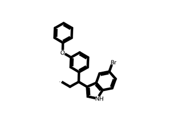 [CH2]CC(c1cccc(Oc2ccccc2)c1)c1c[nH]c2ccc(Br)cc12